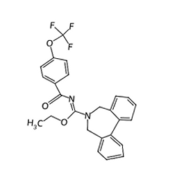 CCOC(=NC(=O)c1ccc(OC(F)(F)F)cc1)N1Cc2ccccc2-c2ccccc2C1